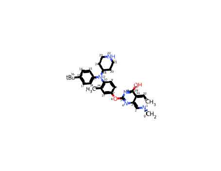 C=N/C=c1/nc(Oc2ccc(N(c3ccc(C(C)(C)C)cc3)C3CCNCC3)c(C)c2)nc(O)/c1=C/C